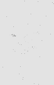 Br.COc1cc(OC)c(C2=CCN(C)C[C@@H]2Br)c(OC)c1